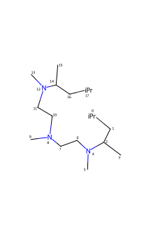 CC(C)CC(C)N(C)CCN(C)CCN(C)C(C)CC(C)C